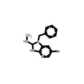 CNC1Nc2ncc(Br)cc2N1Cc1ccccc1